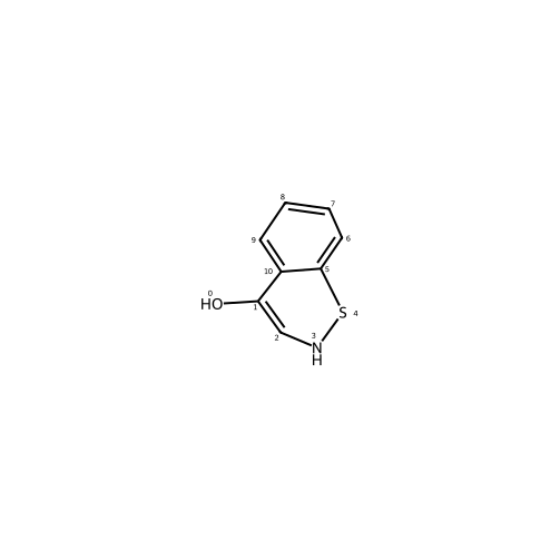 OC1=CNSc2ccccc21